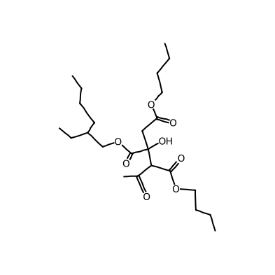 CCCCOC(=O)CC(O)(C(=O)OCC(CC)CCCC)C(C(C)=O)C(=O)OCCCC